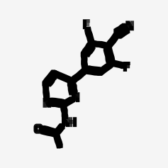 CC(=O)Nc1nccc(-c2cc(F)c(C#N)c(F)c2)n1